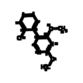 COc1ncc(-c2cc[c]cc2Cl)c(OC)n1